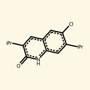 CC(C)c1cc2[nH]c(=O)c(C(C)C)cc2cc1Cl